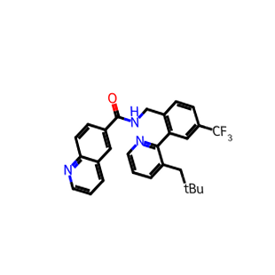 CC(C)(C)Cc1cccnc1-c1cc(C(F)(F)F)ccc1CNC(=O)c1ccc2ncccc2c1